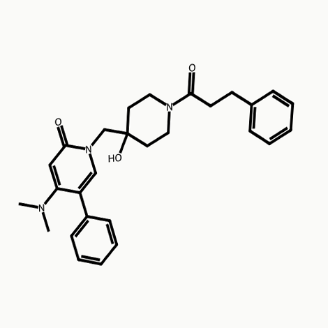 CN(C)c1cc(=O)n(CC2(O)CCN(C(=O)CCc3ccccc3)CC2)cc1-c1ccccc1